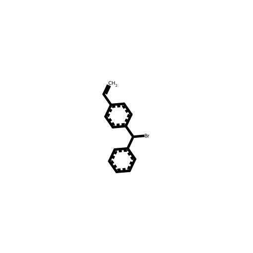 C=Cc1ccc(C(Br)c2ccccc2)cc1